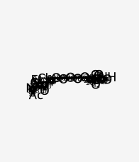 CCOc1cc2oc(-c3ccc(OCCOCCOCCOCCOc4ccc5c(c4)C(=O)N(C4CCC(=O)NC4=O)C5=O)cc3Cl)cc(=O)c2cc1-c1cncc(C(C)=O)c1